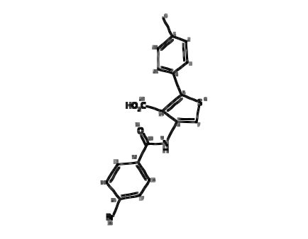 Cc1ccc(-c2scc(NC(=O)c3ccc(Br)cc3)c2C(=O)O)cc1